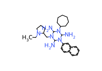 CCN1CCCC1CN1C(N)N(c2ccc3ccccc3c2)C(N)N(C2CCCCCC2)C1N